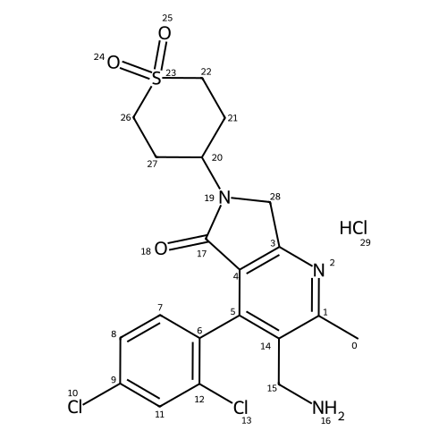 Cc1nc2c(c(-c3ccc(Cl)cc3Cl)c1CN)C(=O)N(C1CCS(=O)(=O)CC1)C2.Cl